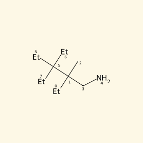 CCC(C)(CN)C(CC)(CC)CC